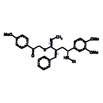 CCNC(CC(=C/c1ccccc1)/C(=N\C)SCC(=O)c1ccc(OC)cc1)c1ccc(OC)c(OC)c1